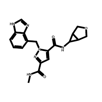 CNC(=O)c1cc(C(=O)NC2C3COCC32)n(Cc2cccc3[nH]cnc23)n1